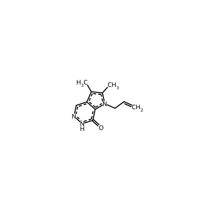 C=CCn1c(C)c(C)c2cn[nH]c(=O)c21